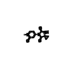 Cn1ccc(N2C(=O)NC3(CC3)C2=O)cc1=O